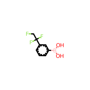 OB(O)c1cccc(C(F)(F)CF)c1